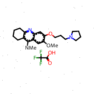 CNc1c2c(nc3cc(OCCCN4CCCC4)c(OC)cc13)CCCC2.O=C(O)C(F)(F)F